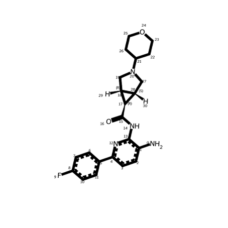 Nc1ccc(-c2ccc(F)cc2)nc1NC(=O)[C@H]1[C@@H]2CN(C3CCOCC3)C[C@@H]21